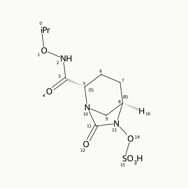 CC(C)ONC(=O)[C@@H]1CC[C@@H]2CN1C(=O)N2OS(=O)(=O)O